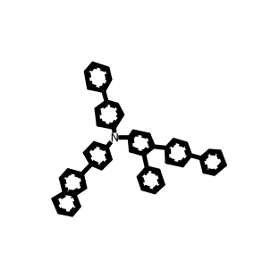 c1ccc(-c2ccc(-c3ccc(N(c4ccc(-c5ccccc5)cc4)c4ccc(-c5ccc6ccccc6c5)cc4)cc3-c3ccccc3)cc2)cc1